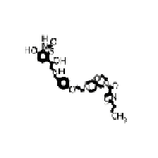 CCCc1nc(C(=O)N2CCOC3(CCN(CCOc4ccc(CNCC(O)c5ccc(O)c6[nH]c(=O)sc56)cc4)CC3)C2)cs1